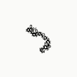 O=C(CN1CCC(OC2CCN(C(=O)c3c(F)cc(-c4cnccn4)cc3F)CC2)CC1)N1CCN(C(=O)c2cc(Cc3n[nH]c(=O)c4ccccc34)ccc2F)CC1